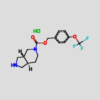 Cl.O=C(OCc1ccc(OC(F)(F)F)cc1)N1CC[C@H]2CNC[C@@H]2C1